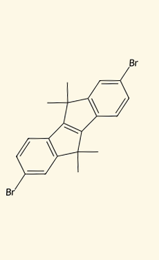 CC1(C)C2=C(c3ccc(Br)cc31)C(C)(C)c1cc(Br)ccc12